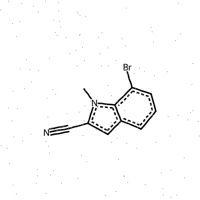 Cn1c(C#N)cc2cccc(Br)c21